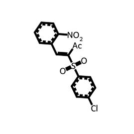 CC(=O)C(=Cc1ccccc1[N+](=O)[O-])S(=O)(=O)c1ccc(Cl)cc1